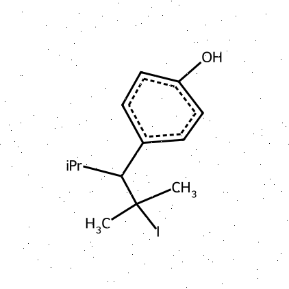 CC(C)C(c1ccc(O)cc1)C(C)(C)I